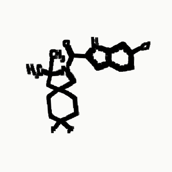 CC1(C)CC2(CCC(F)(F)CC2)CN1C(=O)c1cc2ccc(Cl)cc2[nH]1